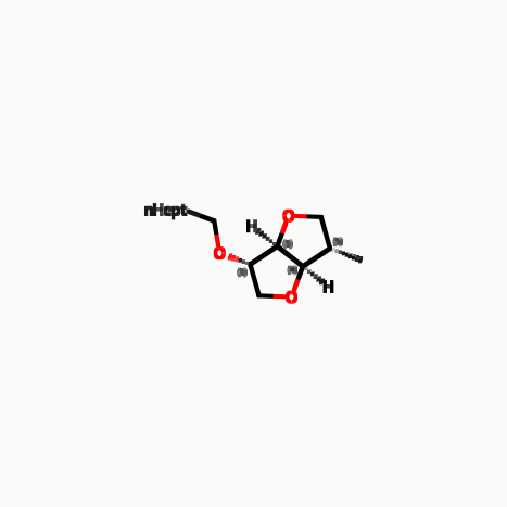 CCCCCCCCO[C@H]1CO[C@H]2[C@@H]1OC[C@@H]2C